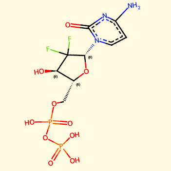 Nc1ccn([C@@H]2O[C@H](COP(=O)(O)OP(=O)(O)O)[C@@H](O)C2(F)F)c(=O)n1